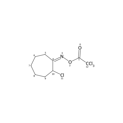 O=C(ON=C1CCCCCC1Cl)C(Cl)(Cl)Cl